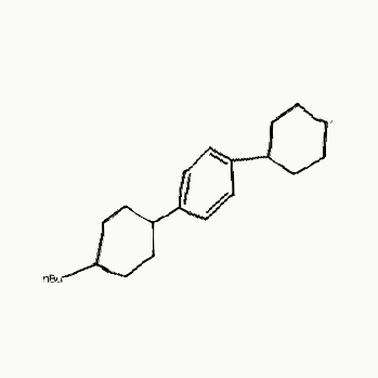 CCCCC1CCC(c2ccc(C3CC[CH]CC3)cc2)CC1